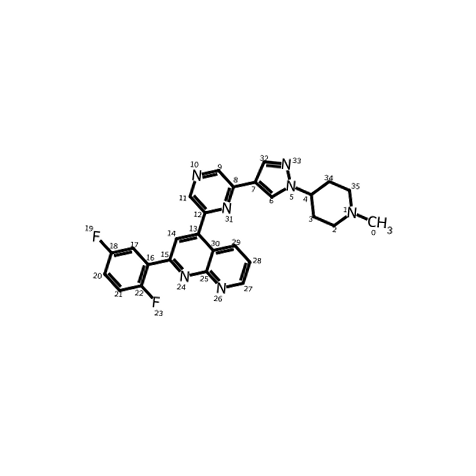 CN1CCC(n2cc(-c3cncc(-c4cc(-c5cc(F)ccc5F)nc5ncccc45)n3)cn2)CC1